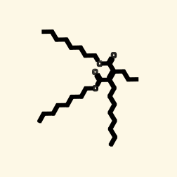 CCCCCCCCOC(=O)C(CCC)=C(CCCCCCCC)C(=O)OCCCCCCCC